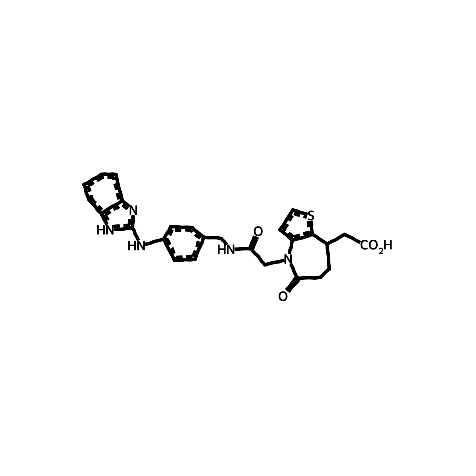 O=C(O)CC1CCC(=O)N(CC(=O)NCc2ccc(Nc3nc4ccccc4[nH]3)cc2)c2ccsc21